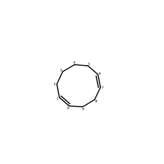 [C]1=C\CCCC/C=C\CC/1